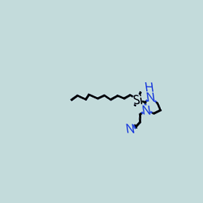 CCCCCCCCCC[Si](C)(C)C1NCCCN1CCC#N